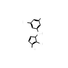 CC1=C(C)[C]([SiH2]c2cc(C)cc(C)c2)C=C1